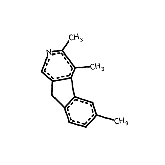 Cc1ccc2c(c1)-c1c(cnc(C)c1C)C2